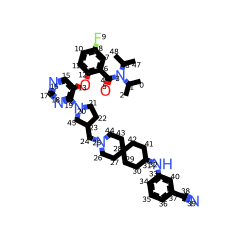 CC(C)N(C(=O)c1cc(F)ccc1Oc1cncnc1N1CCC(CN2CCC3(CCC(Nc4cccc(C#N)c4)CC3)CC2)C1)C(C)C